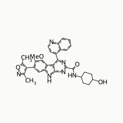 COc1cc2c(cc1-c1c(C)noc1C)[nH]c1nc(C(=O)NC3CCC(O)CC3)nc(-c3ccnc4ccccc34)c12